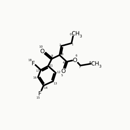 CCC=C(C(=O)OCC)C(=O)c1ccc(F)cc1F